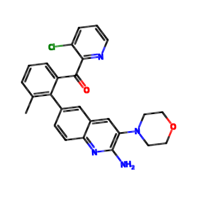 Cc1cccc(C(=O)c2ncccc2Cl)c1-c1ccc2nc(N)c(N3CCOCC3)cc2c1